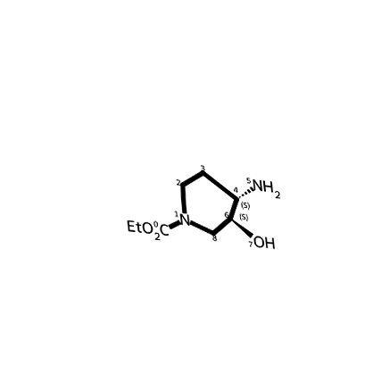 CCOC(=O)N1CC[C@H](N)[C@@H](O)C1